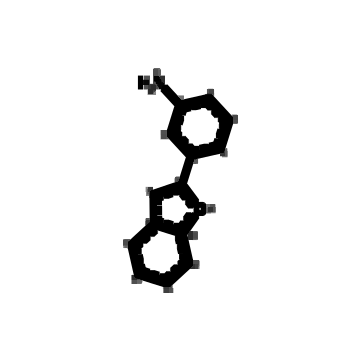 Nc1cccc(-c2cc3ccccc3o2)c1